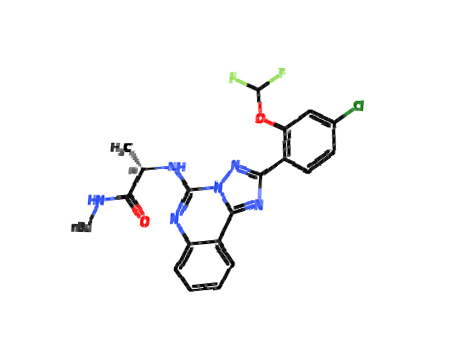 CCCCNC(=O)[C@H](C)Nc1nc2ccccc2c2nc(-c3ccc(Cl)cc3OC(F)F)nn12